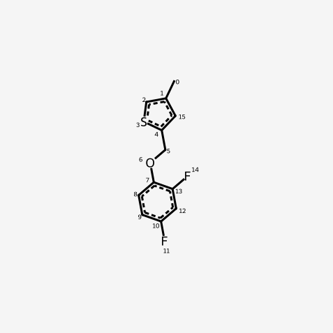 Cc1csc(COc2ccc(F)cc2F)c1